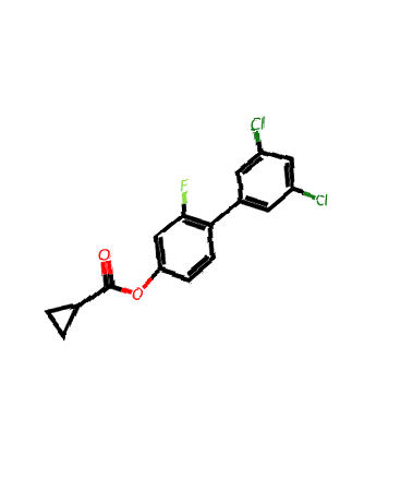 O=C(Oc1ccc(-c2cc(Cl)cc(Cl)c2)c(F)c1)C1CC1